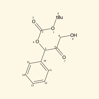 CC(C)(C)OC(=O)OC(C(=O)CO)c1ccccc1